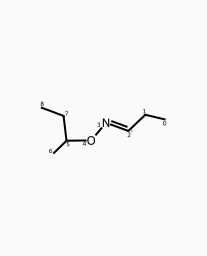 CC/[C]=N/OC(C)CC